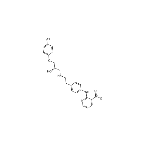 O=[N+]([O-])c1cccnc1Nc1ccc(CCNC[C@@H](O)COc2ccc(O)cc2)cc1